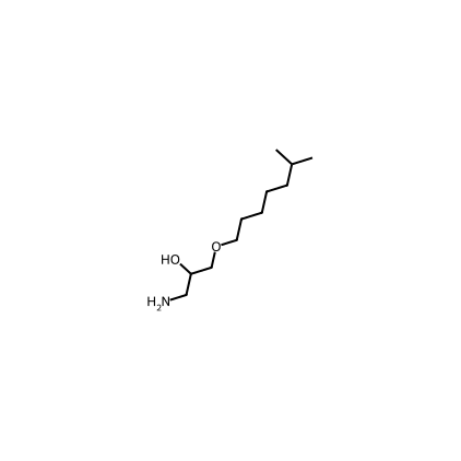 CC(C)CCCCCOCC(O)CN